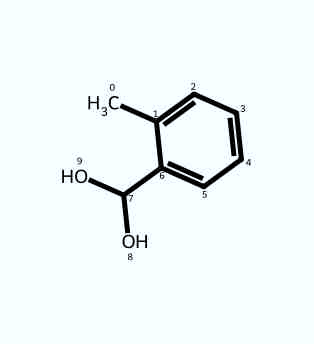 Cc1ccccc1C(O)O